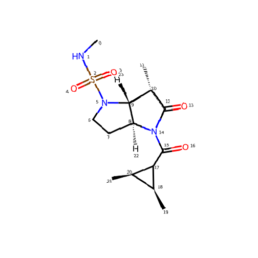 CNS(=O)(=O)N1CC[C@H]2[C@H]1[C@H](C)C(=O)N2C(=O)C1[C@@H](C)[C@H]1C